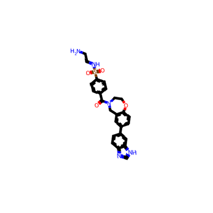 NCCNS(=O)(=O)c1ccc(C(=O)N2CCOc3ccc(-c4ccc5nc[nH]c5c4)cc3C2)cc1